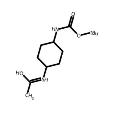 CC(O)=[SH]C1CCC(NC(=O)OC(C)(C)C)CC1